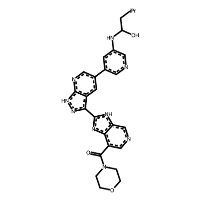 CC(C)CC(O)Nc1cncc(-c2cnc3[nH]nc(-c4nc5c(C(=O)N6CCOCC6)cncc5[nH]4)c3c2)c1